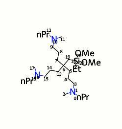 CCCN(C)CCCC(CCCN(C)CCC)(CCCN(C)CCC)C[Si](CC)(OC)OC